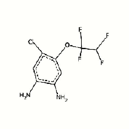 Nc1cc(Cl)c(OC(F)(F)C(F)F)cc1N